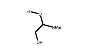 CCOC(CO)NC